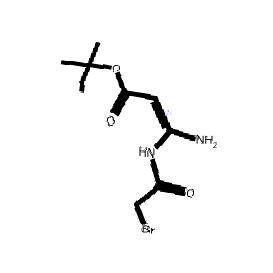 CC(C)(C)OC(=O)/C=C(/N)NC(=O)CBr